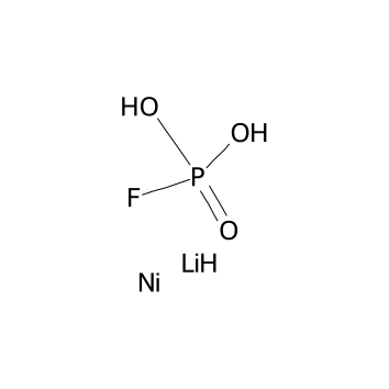 O=P(O)(O)F.[LiH].[Ni]